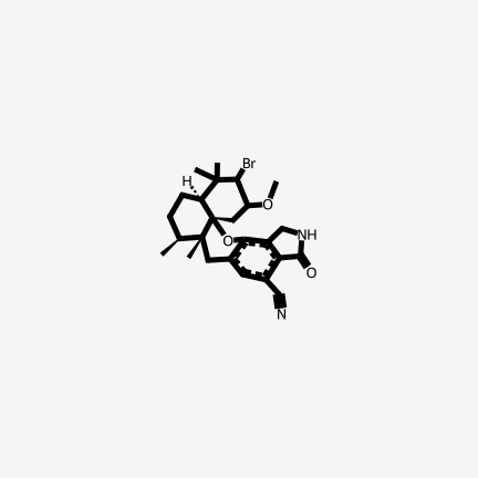 COC1C[C@@]23Oc4c(cc(C#N)c5c4CNC5=O)C[C@]2(C)[C@@H](C)CC[C@H]3C(C)(C)C1Br